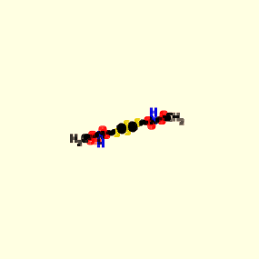 C=CC(=O)OCCNC(=O)OCCCSc1ccc2c(c1)Sc1ccc(SCCCOC(=O)NCCOC(O)C=C)cc1S2